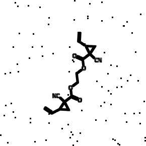 C=CC1CC1(C#N)C(=O)OCCOC(=O)C1(C#N)CC1C=C